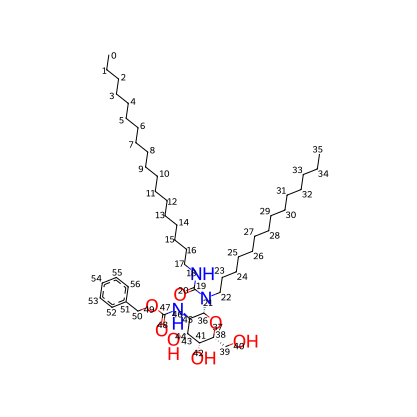 CCCCCCCCCCCCCCCCCCNC(=O)N(CCCCCCCCCCCCCC)[C@@H]1O[C@H](CO)[C@H](O)[C@H](O)[C@H]1NC(=O)OCc1ccccc1